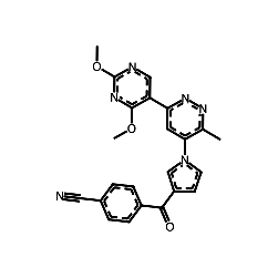 COc1ncc(-c2cc(-n3ccc(C(=O)c4ccc(C#N)cc4)c3)c(C)nn2)c(OC)n1